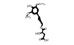 COc1cc(/C=C/COC(=O)C(O)CC(=O)O)cc(OC)c1O